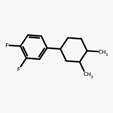 CC1[CH]C(c2ccc(F)c(F)c2)CCC1C